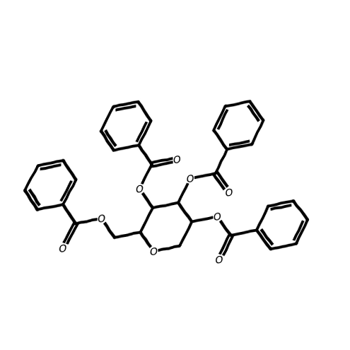 O=C(OCC1OCC(OC(=O)c2ccccc2)C(OC(=O)c2ccccc2)C1OC(=O)c1ccccc1)c1ccccc1